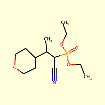 CCOP(=O)(OCC)C(C#N)C(C)C1CCOCC1